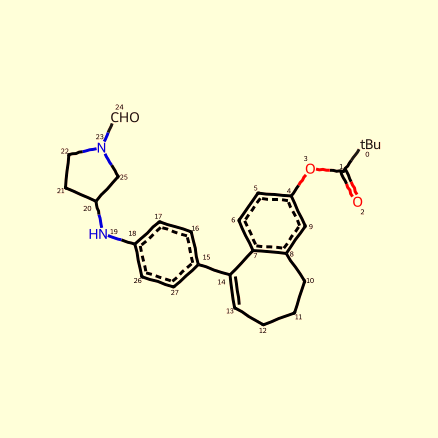 CC(C)(C)C(=O)Oc1ccc2c(c1)CCCC=C2c1ccc(NC2CCN(C=O)C2)cc1